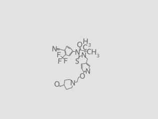 CC1(C)C(=O)N(c2ccc(C#N)c(C(F)(F)F)c2)C(=S)N1Cc1ccc(OCCN2CCC(C=O)CC2)nc1